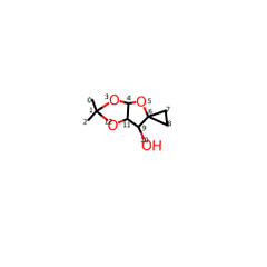 CC1(C)OC2OC3(CC3)C(O)C2O1